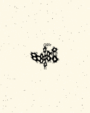 CCc1ccc(-c2c3c(c(-c4ccc(OC)cc4)c4c2C2=CC=CC5=C(N(c6ccccc6)c6ccccc6)C=CC4C25)-c2ccc4c5c2C3=CCC5C2=CCCC3CC=CC4=C23)cc1